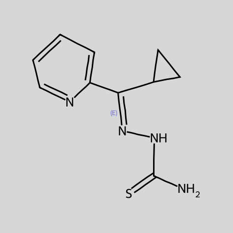 NC(=S)N/N=C(/c1ccccn1)C1CC1